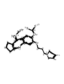 CC(C)Nc1c2c(nc3cc(OCCCN4CCCC4)c(OC(F)F)cc13)CCC2